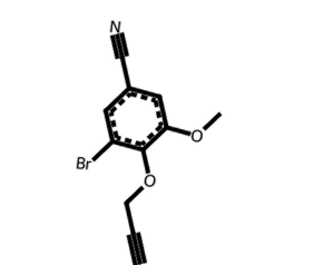 C#CCOc1c(Br)cc(C#N)cc1OC